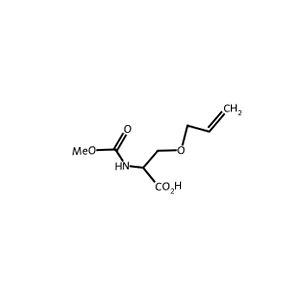 C=CCOCC(NC(=O)OC)C(=O)O